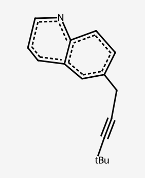 CC(C)(C)C#CCc1ccc2ncccc2c1